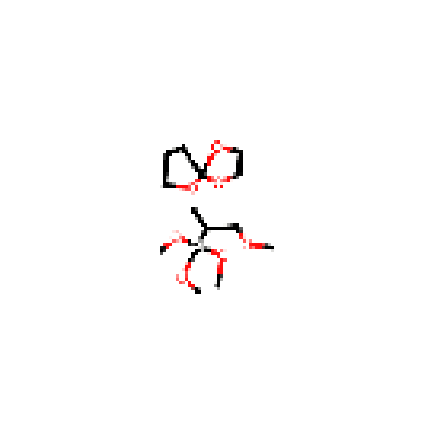 C1COC2(C1)OCCO2.COCC(C)[Si](OC)(OC)OC